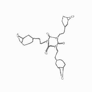 O=c1n(CCC2CCC3OC3C2)c(=O)n(CCC2CCC3OC3C2)c(=O)n1CCC1CCC2OC2C1